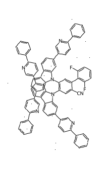 N#Cc1cc(-n2c3cc(-c4ccc(-c5ccccc5)nc4)ccc3c3ccc(-c4ccc(-c5ccccc5)nc4)cc32)c(-n2c3cc(-c4ccc(-c5ccccc5)nc4)ccc3c3ccc(-c4ccc(-c5ccccc5)nc4)cc32)cc1-c1c(F)cccc1F